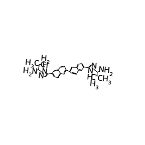 CC(C)C(N)c1ncc(-c2ccc3cc(-c4ccc5cc(-c6cnc(C(N)C(C)C)[nH]6)ccc5c4)ccc3c2)[nH]1